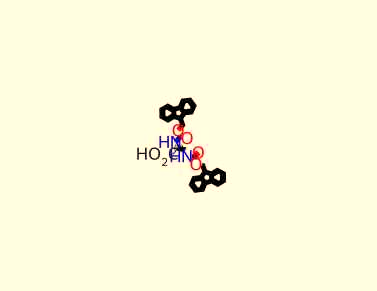 O=C(NC[C@@H](NC(=O)OCC1c2ccccc2-c2ccccc21)C(=O)O)OCC1c2ccccc2-c2ccccc21